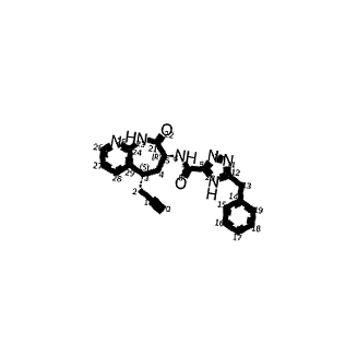 C#CC[C@H]1C[C@@H](NC(=O)c2nnc(Cc3ccccc3)[nH]2)C(=O)Nc2ncccc21